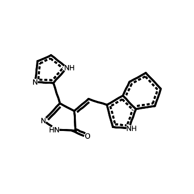 O=C1NN=C(c2ncc[nH]2)/C1=C/c1c[nH]c2ccccc12